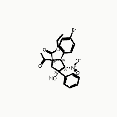 CCOC(=O)[C@]1(C(C)=O)C[C@](O)(c2ccccc2)[C@@H]([N+](=O)[O-])[C@@H]1c1ccc(Br)cc1